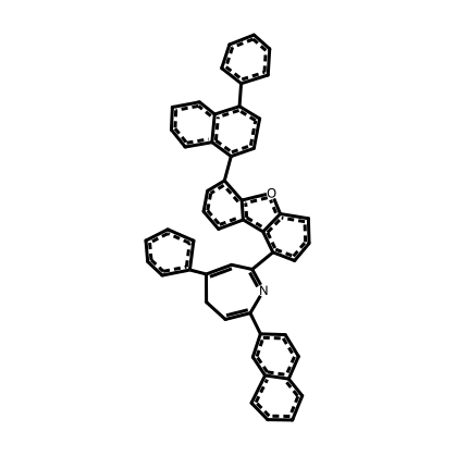 C1=C(c2ccccc2)CC=C(c2ccc3ccccc3c2)N=C1c1cccc2oc3c(-c4ccc(-c5ccccc5)c5ccccc45)cccc3c12